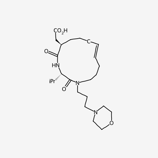 CC(C)[C@@H]1NC(=O)[C@@H](CC(=O)O)CCC/C=C/CCCN(CCCN2CCOCC2)C1=O